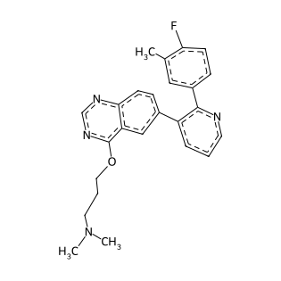 Cc1cc(-c2ncccc2-c2ccc3ncnc(OCCCN(C)C)c3c2)ccc1F